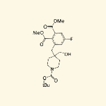 COC(=O)c1cc(F)cc(CC2(CO)CCN(C(=O)OC(C)(C)C)CC2)c1C(=O)OC